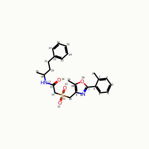 Cc1ccccc1-c1nc(CS(=O)(=O)CC(=O)NC(C)CCc2ccccc2)c(C)o1